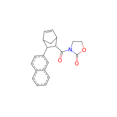 O=C1OCCN1C(=O)C1C2C=CC(C2)C1c1ccc2ccccc2c1